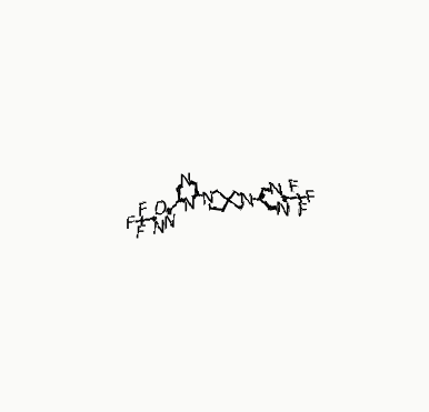 FC(F)(F)c1ncc(N2CC3(CCN(c4cncc(-c5nnc(C(F)(F)F)o5)n4)C3)C2)cn1